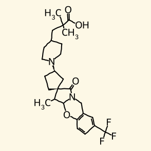 CC1C2Oc3ccc(C(F)(F)F)cc3CN2C(=O)[C@]12CC[C@@H](N1CCC(CC(C)(C)C(=O)O)CC1)C2